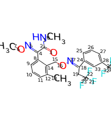 CNC(=O)/C(=N/OC)c1cccc(C)c1CO/N=C(\CC(F)(F)F)c1cccc(C(F)(F)F)c1